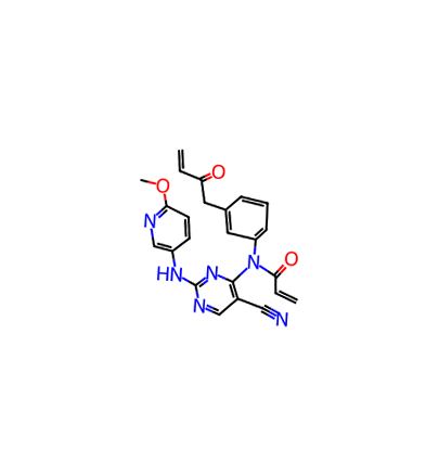 C=CC(=O)Cc1cccc(N(C(=O)C=C)c2nc(Nc3ccc(OC)nc3)ncc2C#N)c1